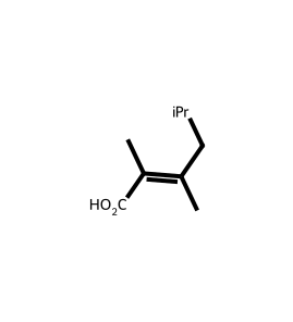 CC(CC(C)C)=C(C)C(=O)O